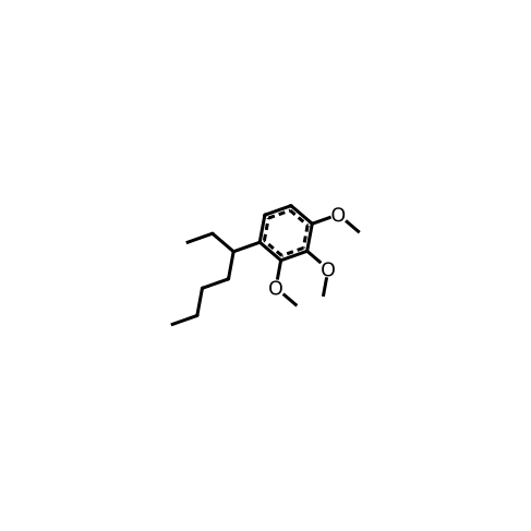 CCCCC(CC)c1ccc(OC)c(OC)c1OC